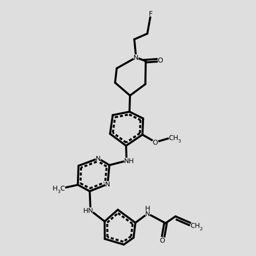 C=CC(=O)Nc1cccc(Nc2nc(Nc3ccc(C4CCN(CCF)C(=O)C4)cc3OC)ncc2C)c1